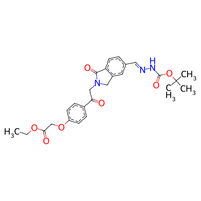 CCOC(=O)COc1ccc(C(=O)CN2Cc3cc(C=NNC(=O)OC(C)(C)C)ccc3C2=O)cc1